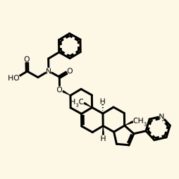 C[C@]12CC[C@H](OC(=O)N(CC(=O)O)Cc3ccccc3)CC1=CC[C@H]1C3CC=C(c4cccnc4)[C@@]3(C)CC[C@@H]12